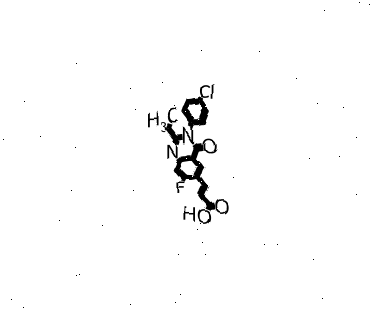 CCc1nc2cc(F)c(C=CC(=O)O)cc2c(=O)n1-c1ccc(Cl)cc1